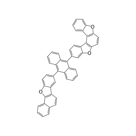 c1ccc2c(c1)ccc1c3cc(-c4c5ccccc5c(-c5ccc6c(c5)oc5ccc7oc8ccccc8c7c56)c5ccccc45)ccc3oc21